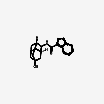 O=C(NC1[C@@H]2CC3C[C@H]1CC(O)(C3)C2)c1occ2ccccc12